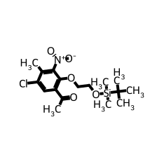 CC(=O)c1cc(Cl)c(C)c([N+](=O)[O-])c1OCCO[Si](C)(C)C(C)(C)C